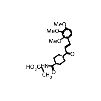 COc1ccc(C=CC(=O)N2CCC(C(=O)NC(C)C(=O)O)CC2)c(OC)c1OC